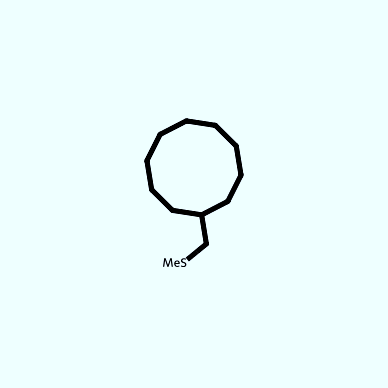 CSCC1CCCCCCCCC1